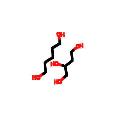 OCCC(O)CO.OCCCCCO